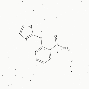 NC(=O)c1ccccc1Oc1nccs1